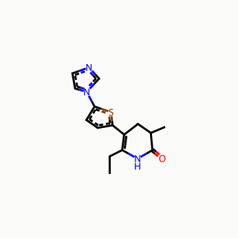 CCC1=C(c2ccc(-n3ccnc3)s2)CC(C)C(=O)N1